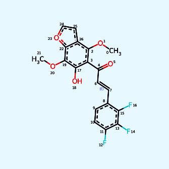 COc1c(C(=O)/C=C/c2ccc(F)c(F)c2F)c(O)c(OC)c2occc12